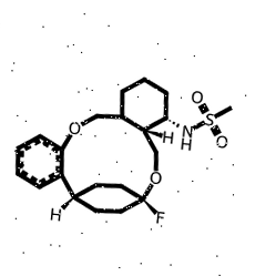 CS(=O)(=O)N[C@H]1CCCC2COc3ccccc3[C@H]3CC[C@](F)(CC3)OC[C@H]21